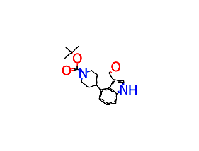 CC(C)(C)OC(=O)N1CCC(c2cccc3[nH]cc(C=O)c23)CC1